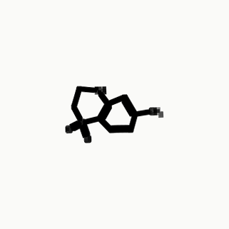 Cc1ccc2c(c1)NCCS2(=O)=O